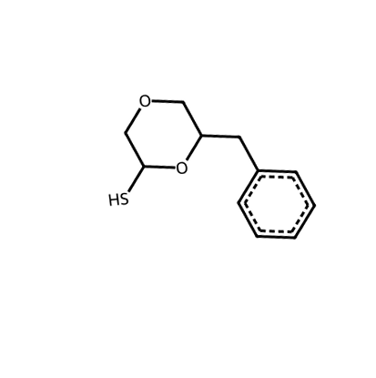 SC1COCC(Cc2ccccc2)O1